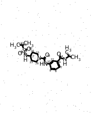 CC(C)NC(=O)c1cccc(NC(=O)N2CCC(NS(=O)(=O)C(C)C)CC2)c1